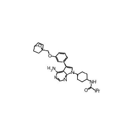 CC(C)C(=O)NC1CCC(n2cc(-c3cccc(OCC45CCC(CC4)O5)c3)c3c(N)ncnc32)CC1